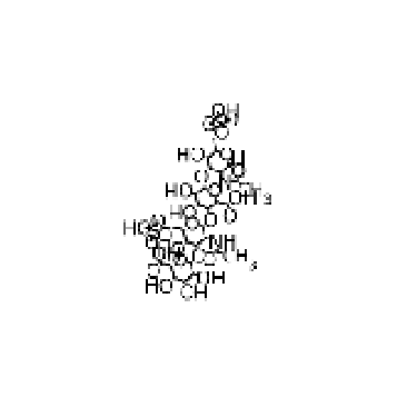 CC(=O)NC1[C@H](O[C@@H]2C(C(=O)O)O[C@@H](O[C@@H]3C4N=C(C)O[C@H]4OC(COS(=O)(=O)O)[C@@H]3O)C(O)[C@H]2O)OC(COS(=O)(=O)O)[C@H](O)[C@@H]1O[C@@H]1OC(C(=O)O)[C@@H](O)[C@H](O)C1O